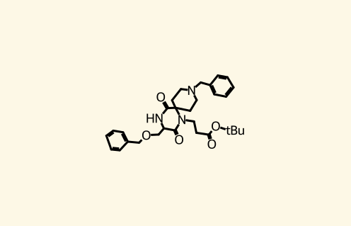 CC(C)(C)OC(=O)CCN1C(=O)C(COCc2ccccc2)NC(=O)C12CCN(Cc1ccccc1)CC2